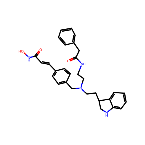 O=C(/C=C/c1ccc(CN(CCNC(=O)Cc2ccccc2)CCC2CNc3ccccc32)cc1)NO